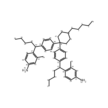 CCCCCC1CCC(c2ccc(C(CCCC)c3ccc(N)cc3C)cc2)(c2ccc(C(CCCC)c3ccc(N)cc3C)cc2)CC1